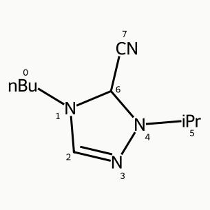 CCCCN1C=NN(C(C)C)C1C#N